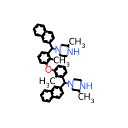 Cc1c(Oc2cccc(C(c3ccc4ccccc4c3)N3CCNC(C)C3)c2C)cccc1C(c1ccc2ccccc2c1)N1CCNC(C)C1